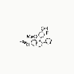 COc1cc(O)c(F)cc1[C@@H]1c2ccc(OC(C)(C)C)cc2CC[C@@H]1c1ccccc1